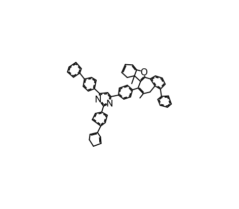 CC1=C(c2ccc(-c3cc(-c4ccc(-c5ccccc5)cc4)nc(-c4ccc(C5=CCCC=C5)cc4)n3)cc2)C2=C(OC3=CC=CCC32C)c2cccc(-c3ccccc3)c2C1